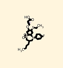 CCCCC1CN(c2ccc(F)cc2)c2cc(SCC)c(O/C=C/C(=O)O)cc2S(=O)(=O)C1